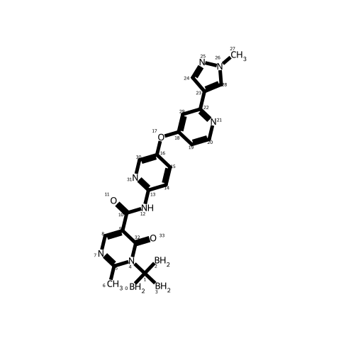 BC(B)(B)n1c(C)ncc(C(=O)Nc2ccc(Oc3ccnc(-c4cnn(C)c4)c3)cn2)c1=O